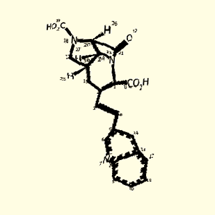 O=C(O)C1=C(/C=C/c2cnc3ccccc3c2)C[C@@H]2CN(C(=O)O)[C@@H]3C(=O)N1[C@H]23